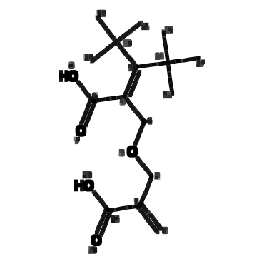 C=C(COCC(C(=O)O)=C(C(C)(C)C)C(C)(C)C)C(=O)O